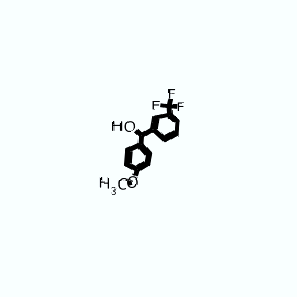 COc1ccc(C(O)c2cccc(C(F)(F)F)c2)cc1